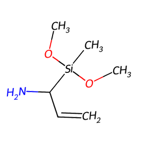 C=CC(N)[Si](C)(OC)OC